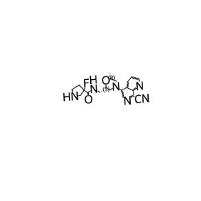 C[C@@H]1CN(c2cnc(C#N)c3ncccc23)C[C@H](CNC(=O)C2(F)CCNC2)O1